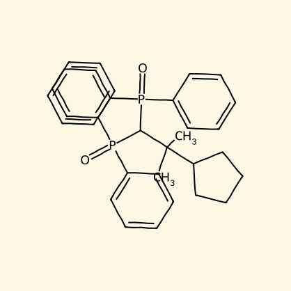 CC(C)(C1CCCC1)C(P(=O)(c1ccccc1)c1ccccc1)P(=O)(c1ccccc1)c1ccccc1